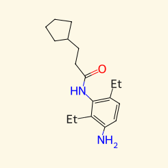 CCc1ccc(N)c(CC)c1NC(=O)CCC1CCCC1